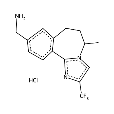 CC1CCc2cc(CN)ccc2-c2nc(C(F)(F)F)cn21.Cl